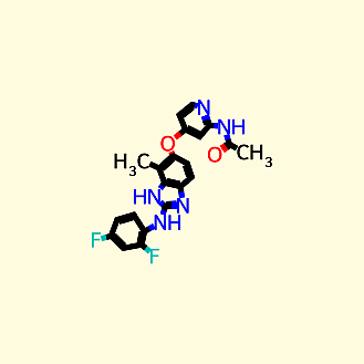 CC(=O)Nc1cc(Oc2ccc3nc(Nc4ccc(F)cc4F)[nH]c3c2C)ccn1